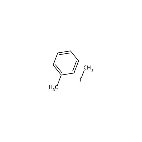 CI.Cc1ccccc1